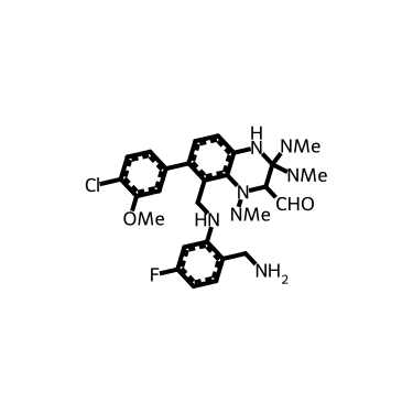 CNN1c2c(ccc(-c3ccc(Cl)c(OC)c3)c2CNc2cc(F)ccc2CN)NC(NC)(NC)C1C=O